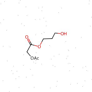 CC(=O)OCC(=O)OCCCO